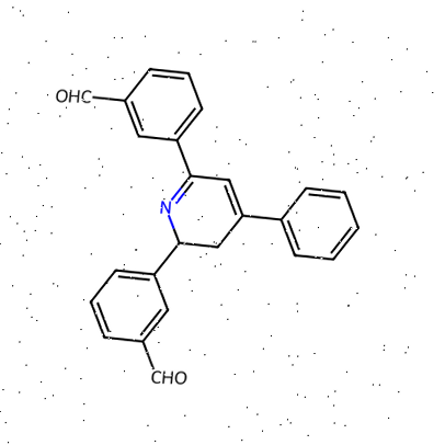 O=Cc1cccc(C2=NC(c3cccc(C=O)c3)CC(c3ccccc3)=C2)c1